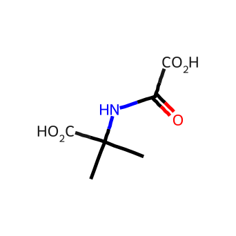 CC(C)(NC(=O)C(=O)O)C(=O)O